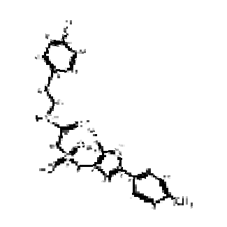 Cc1ccc(-c2nc(CS(=O)(=O)CC(=O)NCCc3ccc(Cl)cc3)c(C)o2)cc1